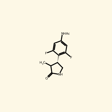 CC(=O)Nc1cc(F)c([C@@H]2CNC(=O)C2C)c(F)c1